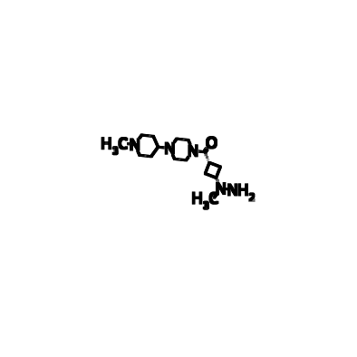 CN1CCC(N2CCN(C(=O)[C@H]3C[C@@H](N(C)N)C3)CC2)CC1